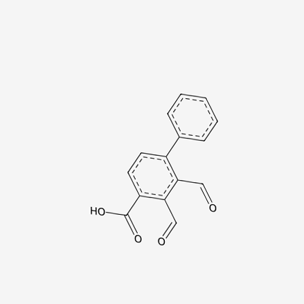 O=Cc1c(C(=O)O)ccc(-c2ccccc2)c1C=O